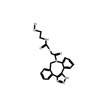 CCOCCNC(=O)CCC(=O)N1Cc2ccccc2-c2nn[nH]c2-c2ccccc21